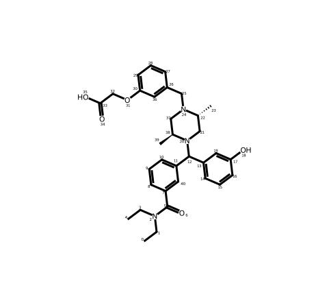 CCN(CC)C(=O)c1cccc(C(c2cccc(O)c2)N2C[C@@H](C)N(Cc3cccc(OCC(=O)O)c3)C[C@@H]2C)c1